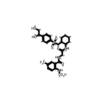 O=C(O)Nc1ccc(C(F)(F)F)cc1C(=O)NCC(=O)NC1CCCCC1CS(=O)(=O)c1ccc(C(O)CO)cc1